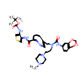 CN1CCN(CCN(Cc2ccc(C(=O)Nc3cscc3NC(=O)OC(C)(C)C)nc2)C(=O)Nc2ccc3c(c2)OCO3)CC1